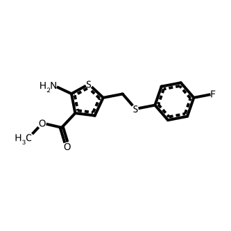 COC(=O)c1cc(CSc2ccc(F)cc2)sc1N